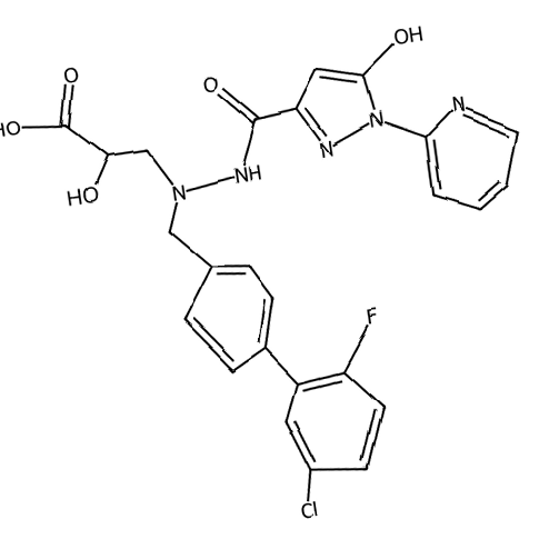 O=C(NN(Cc1ccc(-c2cc(Cl)ccc2F)cc1)CC(O)C(=O)O)c1cc(O)n(-c2ccccn2)n1